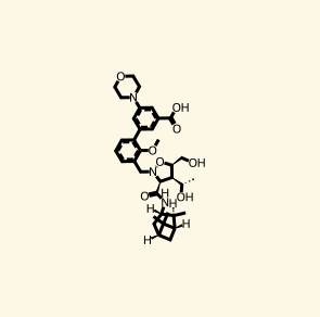 COc1c(CN2O[C@@H](CO)[C@@H]([C@H](C)O)[C@H]2C(=O)N[C@H]2C[C@H]3C[C@@H]([C@@H]2C)C3(C)C)cccc1-c1cc(C(=O)O)cc(N2CCOCC2)c1